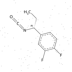 CC[C@@H](N=C=O)c1ccc(F)c(F)c1